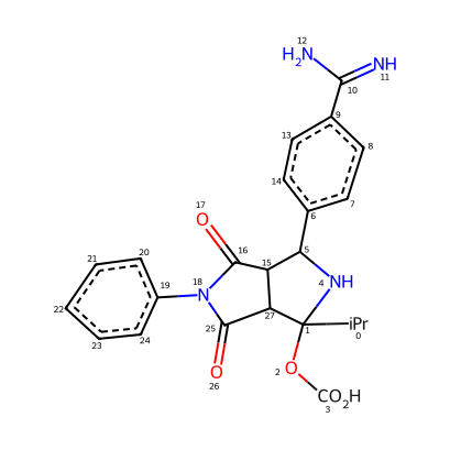 CC(C)C1(OC(=O)O)NC(c2ccc(C(=N)N)cc2)C2C(=O)N(c3ccccc3)C(=O)C21